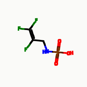 O=S(=O)(O)NCC(F)=C(F)F